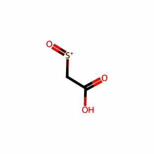 O=[S+]CC(=O)O